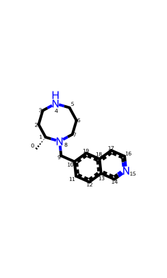 C[C@@H]1CCNCCCN1Cc1ccc2cnccc2c1